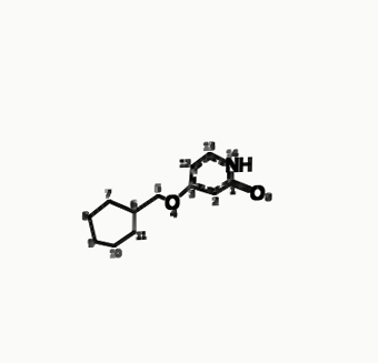 O=c1cc(OCC2CCCCC2)cc[nH]1